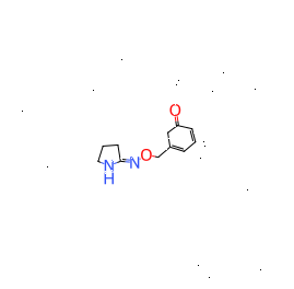 O=C1C=CC=C(CO/N=C2\CCCN2)C1